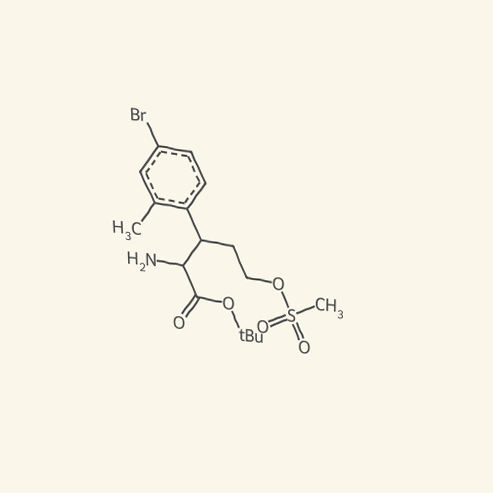 Cc1cc(Br)ccc1C(CCOS(C)(=O)=O)C(N)C(=O)OC(C)(C)C